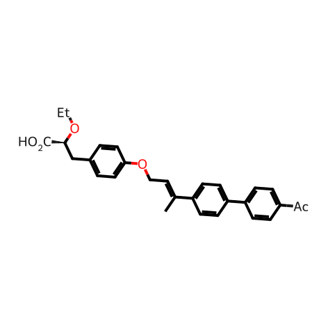 CCO[C@@H](Cc1ccc(OC/C=C(\C)c2ccc(-c3ccc(C(C)=O)cc3)cc2)cc1)C(=O)O